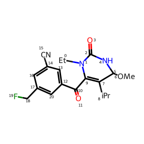 CCN1C(=O)NC(OC)C(C(C)C)=C1C(=O)c1cc(C#N)cc(CF)c1